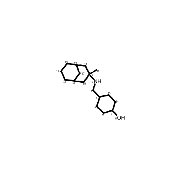 CC1(NCC2CCC(O)CC2)CC2CCCC(C2)C1